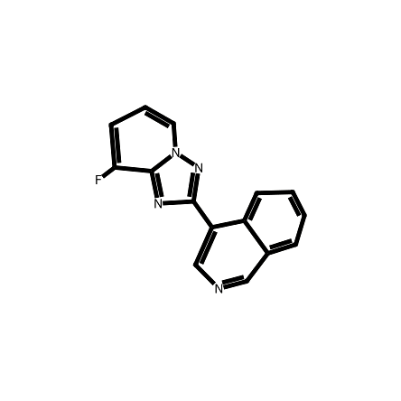 Fc1cccn2nc(-c3cncc4ccccc34)nc12